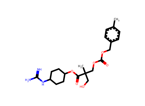 Cc1ccc(COC(=O)OCC(C)(CO)C(=O)OC2CCC(NC(=N)N)CC2)cc1